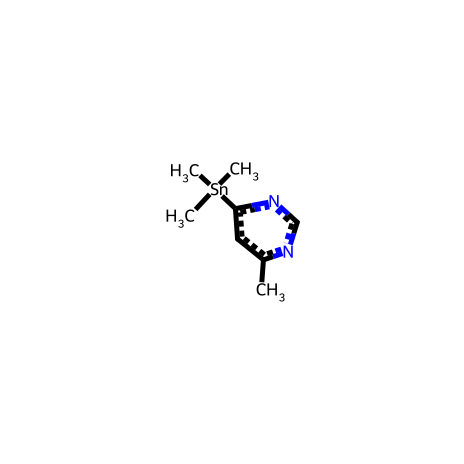 Cc1c[c]([Sn]([CH3])([CH3])[CH3])ncn1